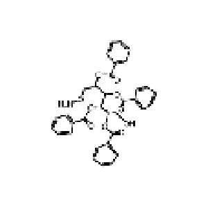 NOC[C@@H](OC(=O)c1ccccc1)[C@@H](OC(=O)c1ccccc1)[C@H](OC(=O)c1ccccc1)[C@@H](CO)OC(=O)c1ccccc1